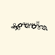 CNC(=O)c1c(C)oc2cc(Oc3ccnc(Nc4cccc(NC(=O)CN5CCN(C)CC5)c4)n3)ccc12